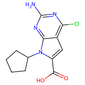 Nc1nc(Cl)c2cc(C(=O)O)n(C3CCCC3)c2n1